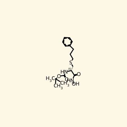 CC(C)(C)OC(=O)N[C@H](CSCCCc1ccccc1)C(=O)NO